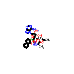 CC(C)OC(=O)[C@H](C)NP(=O)(OC[C@@]1(C(F)F)O[C@@H](n2cnc3ncnc(N)c32)[C@H](O)[C@@H]1O)Oc1cccc2ccccc12